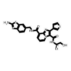 CC[C@H](CO)NC(=O)c1c(-c2ccsc2)nc2c(C(=O)NCc3ccc4nc(N)sc4c3)cccn12